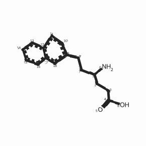 NC(CCC(=O)O)CCc1ccc2ccccc2c1